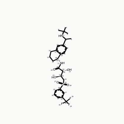 CC(NC(C)(C)C)c1ccc2c(c1)CCC[C@H]2NC(=O)[C@H](O)[C@H](O)CS(=O)(=O)c1cccc(C(F)(F)F)c1